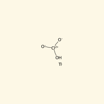 [O-][Cl+2]([O-])O.[Tl]